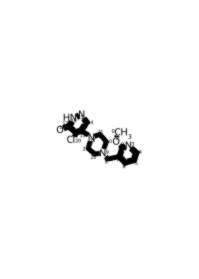 COc1ncccc1CN1CCN(c2cn[nH]c(=O)c2Cl)CC1